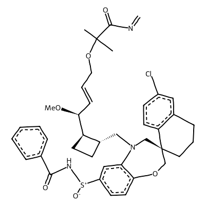 C=NC(=O)C(C)(C)OC/C=C/[C@H](OC)[C@@H]1CC[C@H]1CN1C[C@@]2(CCCc3cc(Cl)ccc32)COc2ccc([S+]([O-])NC(=O)c3ccccc3)cc21